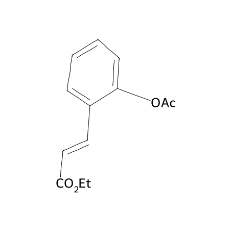 CCOC(=O)C=Cc1ccccc1OC(C)=O